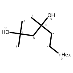 CCCCCCCCC(C)(O)CC(C)(C)O